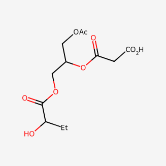 CCC(O)C(=O)OCC(COC(C)=O)OC(=O)CC(=O)O